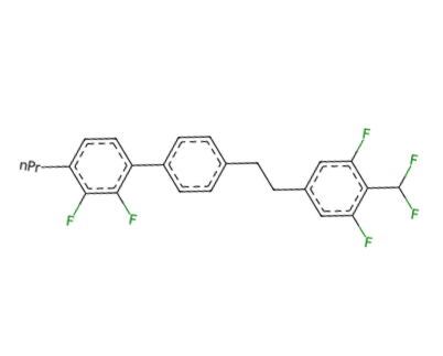 CCCc1ccc(-c2ccc(CCc3cc(F)c(C(F)F)c(F)c3)cc2)c(F)c1F